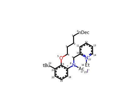 CCCCCCCCCCCCCCOc1c(N(Cc2cccc[n+]2CC)C(C)=O)cccc1C(C)(C)C.[I-]